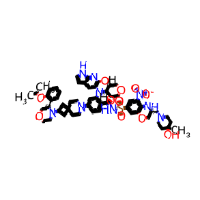 CC(C)Oc1ccccc1[C@@H]1COCCN1C1CC2(CCN(c3ccc(C(=O)NS(=O)(=O)c4cc5c(c([N+](=O)[O-])c4)N[C@@H](CN4CCC(C)(O)CC4)CO5)c(N4c5cc6cc[nH]c6nc5O[C@H]5COCC[C@@H]54)c3)CC2)C1